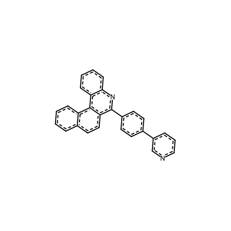 c1cncc(-c2ccc(-c3nc4ccccc4c4c3ccc3ccccc34)cc2)c1